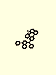 c1ccc(-c2ccc(C(c3ccccc3)c3ccc(-c4cccc5ccc6sc7ccccc7c6c45)cc3)c3ccccc23)cc1